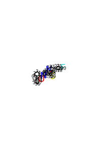 Cc1cccc(C(=O)N2C[C@@H](CN3CCC(c4ccc(F)cc4)CC3)[C@H](c3ccsc3)C2)c1-c1ccccc1